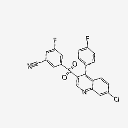 N#Cc1cc(F)cc(S(=O)(=O)c2cnc3cc(Cl)ccc3c2-c2ccc(F)cc2)c1